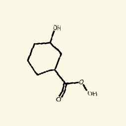 O=C(OO)C1CCCC(O)C1